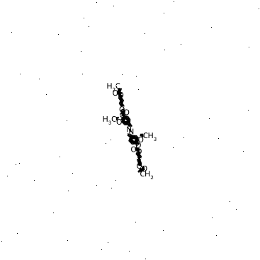 C=CC(=O)OCCCCOC(=O)Oc1ccc(/C=N/N=C/c2ccc(OC(=O)OCCCCOC(=O)C=C)c(OCC)c2)cc1OCC